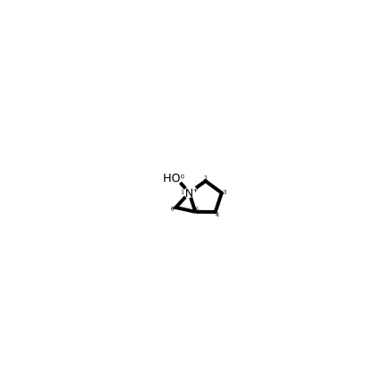 O[N+]12CCCC1C2